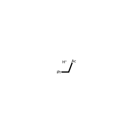 CC(=O)CC(C)C.[H+]